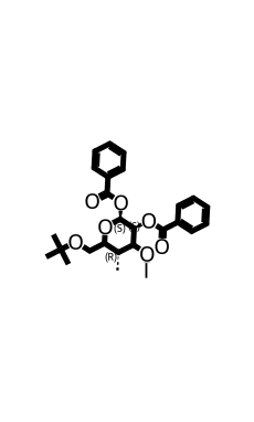 C[C@@H]1C(COC(C)(C)C)O[C@@H](OC(=O)c2ccccc2)[C@@H](OC(=O)c2ccccc2)C1OI